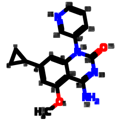 COc1cc(C2CC2)cc2c1c(N)nc(=O)n2-c1cccnc1